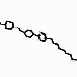 CCCCCCCCCc1cnc(C2CCC(CC[C@H]3CC[C@H](CC)CC3)CC2)nc1